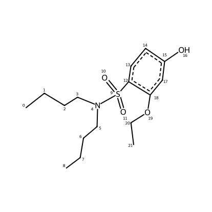 CCCCN(CCCC)S(=O)(=O)c1ccc(O)cc1OCC